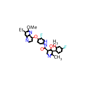 CCc1cc2nccc(Oc3ccc(NC(=O)c4cnc(C)c(-c5ccc(F)cc5C)c4O)cc3F)c2nc1OC